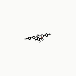 CCc1cc(CC)c(C(=O)N2CCC(c3ccc(C#N)cc3)CC2)c(C(=O)N2CCC(c3ccc(C#N)cc3)CC2)c1C(=O)OC